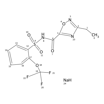 CCc1noc(C(=O)NS(=O)(=O)c2ccccc2OC(F)(F)F)n1.[NaH]